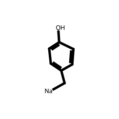 Oc1ccc([CH2][Na])cc1